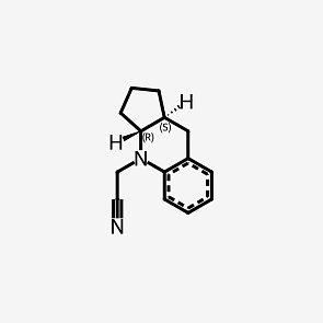 N#CCN1c2ccccc2C[C@@H]2CCC[C@H]21